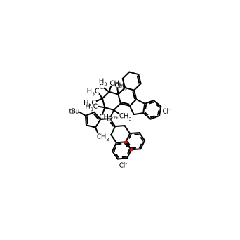 CC1C=C(C(C)(C)C)C=[C]1[Zr+2](=[C](Cc1ccccc1)Cc1ccccc1)[C]1(C)C2=C3Cc4ccccc4C3=C3C=CCCC3C2(C)C(C)(C)C(C)(C)C1(C)C.[Cl-].[Cl-]